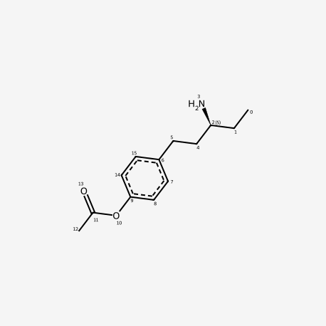 CC[C@H](N)CCc1ccc(OC(C)=O)cc1